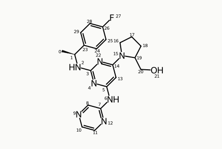 C[C@H](Nc1nc(Nc2cnccn2)cc(N2CCCC2CO)n1)c1ccc(F)cc1